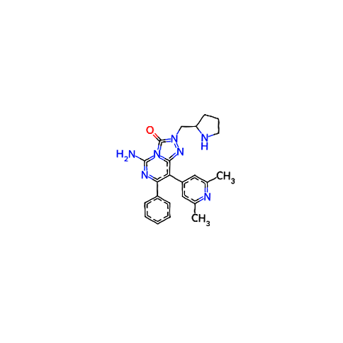 Cc1cc(-c2c(-c3ccccc3)nc(N)n3c(=O)n(CC4CCCN4)nc23)cc(C)n1